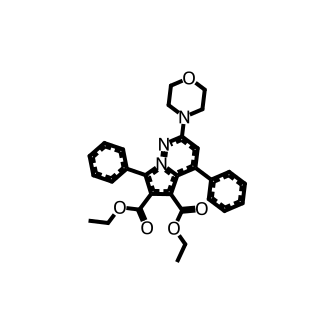 CCOC(=O)c1c(C(=O)OCC)c2c(-c3ccccc3)cc(N3CCOCC3)nn2c1-c1ccccc1